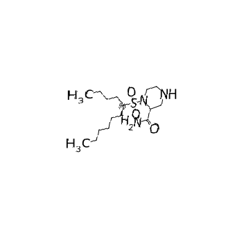 CCCCCC[C@@H](CCCC)S(=O)(=O)N1CCNCC1C(N)=O